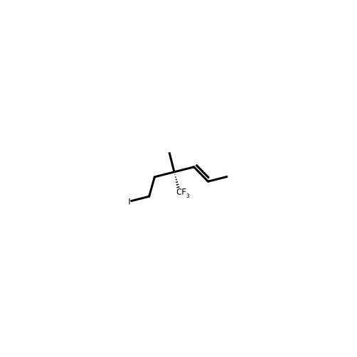 C/C=C/[C@](C)(CCI)C(F)(F)F